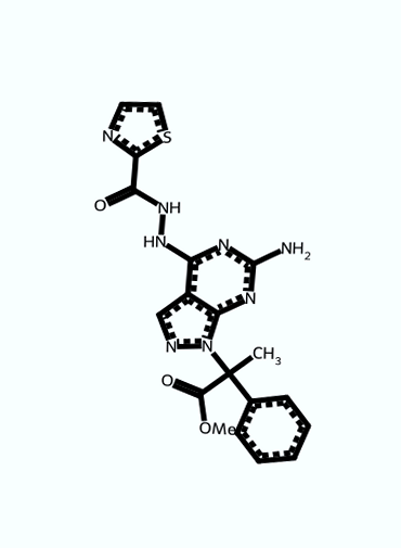 COC(=O)C(C)(c1ccccc1)n1ncc2c(NNC(=O)c3nccs3)nc(N)nc21